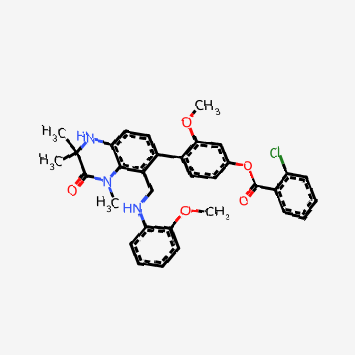 COc1ccccc1NCc1c(-c2ccc(OC(=O)c3ccccc3Cl)cc2OC)ccc2c1N(C)C(=O)C(C)(C)N2